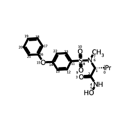 CC(C)[C@H](C(=O)NO)N(C)S(=O)(=O)c1ccc(Oc2ccccc2)cc1